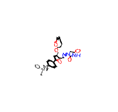 O=C1CN(/N=C/c2oc(-c3ccc([N+](=O)[O-])cc3)cc2COC2CCCCO2)C(=O)N1